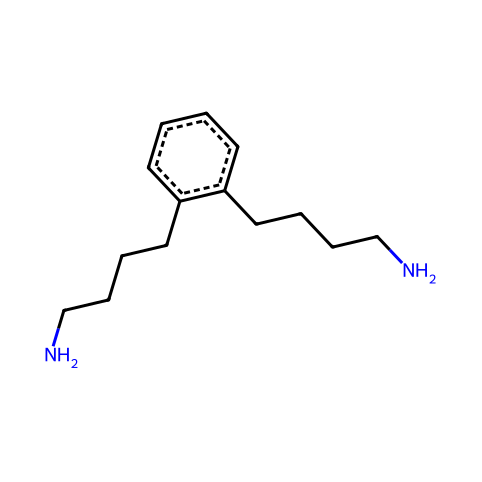 NCCCCc1ccccc1CCCCN